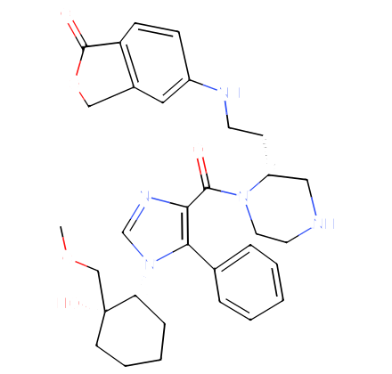 COC[C@]1(O)CCCC[C@H]1n1cnc(C(=O)N2CCNC[C@H]2CCNc2ccc3c(c2)COC3=O)c1-c1ccccc1